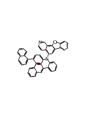 c1ccc(N(c2ccc(-c3cccc4ccccc34)cc2)c2cc3c4ccccc4oc3c3cnccc23)c(-c2ccc3ccccc3c2)c1